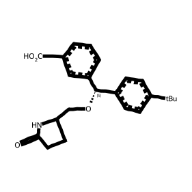 CC(C)(C)c1ccc([C@H](OCC2CCC(=O)N2)c2cccc(C(=O)O)c2)cc1